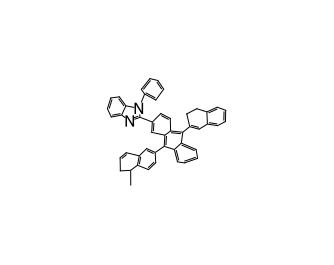 CC1CC=Cc2cc(-c3c4ccccc4c(C4=Cc5ccccc5CC4)c4ccc(-c5nc6ccccc6n5-c5ccccc5)cc34)ccc21